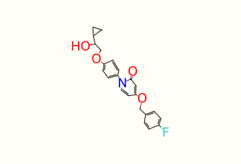 O=c1cc(OCc2ccc(F)cc2)ccn1-c1ccc(OC[C@@H](O)C2CC2)cc1